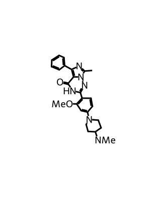 CNC1CCN(c2ccc(-c3nn4c(C)nc(-c5ccccc5)c4c(=O)[nH]3)c(OC)c2)CC1